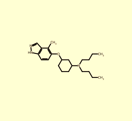 CCCCN(CCCC)C1CCCC(Oc2ccc3[nH]ncc3c2C)C1